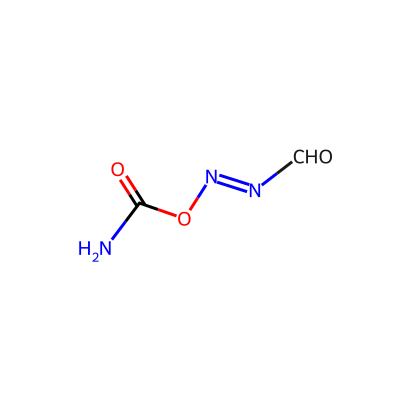 NC(=O)ON=NC=O